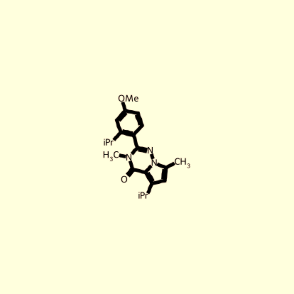 COc1ccc(-c2nn3c(C)cc(C(C)C)c3c(=O)n2C)c(C(C)C)c1